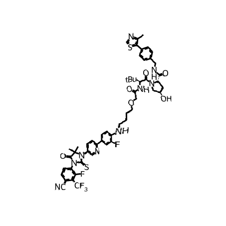 Cc1ncsc1-c1ccc(CNC(=O)[C@@H]2C[C@@H](O)CN2C(=O)[C@@H](NC(=O)COCCCCNc2ccc(-c3ccc(N4C(=S)N(c5ccc(C#N)c(C(F)(F)F)c5F)C(=O)C4(C)C)cn3)cc2F)C(C)(C)C)cc1